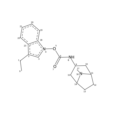 CCc1cn(OC(=O)NC2CC3CCC(C2)N3C)c2ccccc12